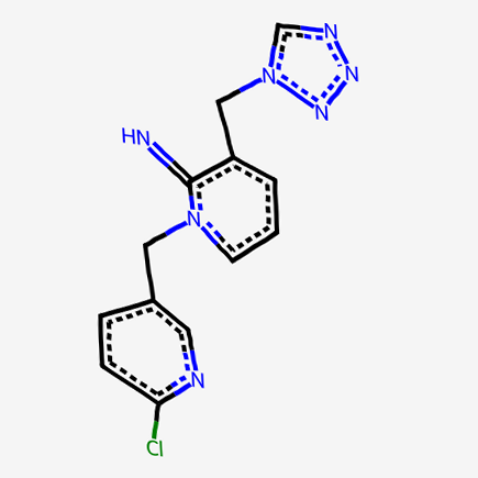 N=c1c(Cn2cnnn2)cccn1Cc1ccc(Cl)nc1